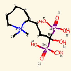 C[N+]1(C)CCCCC1CCC(O)(P(=O)(O)O)P(=O)(O)O